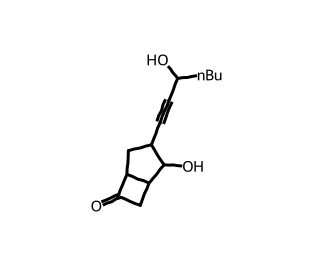 CCCCC(O)C#CC1CC2C(=O)CC2C1O